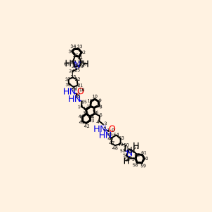 O=C(NCCCc1c2ccccc2c(CCNC(=O)N[C@H]2CC[C@H](CCN3[C@@H]4CC[C@H]3c3ccccc34)CC2)c2ccccc12)N[C@H]1CC[C@H](CCN2[C@@H]3CC[C@H]2c2ccccc23)CC1